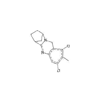 Cc1c(Cl)cc2c(c1Cl)CN1C(=N2)C2CCC1C2